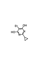 CCc1c(O)nc(C2CC2)nc1O